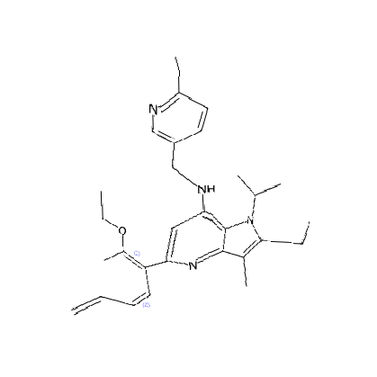 C=C/C=C\C(=C(/C)OCC)c1cc(NCc2ccc(C)nc2)c2c(n1)c(C)c(CC)n2C(C)C